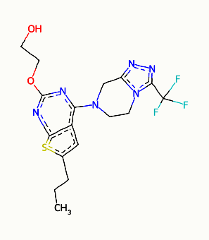 CCCc1cc2c(N3CCn4c(nnc4C(F)(F)F)C3)nc(OCCO)nc2s1